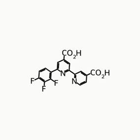 O=C(O)c1ccnc(-c2cc(C(=O)O)cc(-c3ccc(F)c(F)c3F)n2)c1